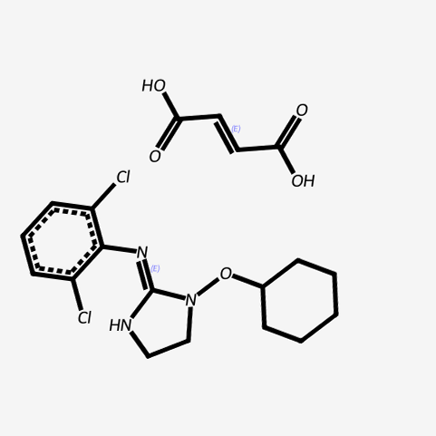 Clc1cccc(Cl)c1/N=C1\NCCN1OC1CCCCC1.O=C(O)/C=C/C(=O)O